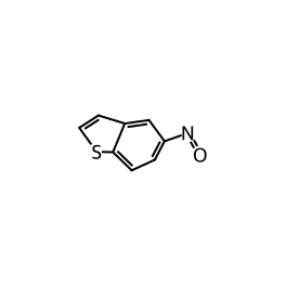 O=Nc1ccc2sccc2c1